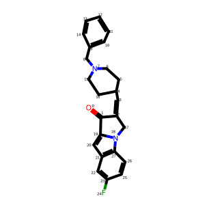 O=C1/C(=C\C2CCN(Cc3ccccc3)CC2)Cn2c1cc1cc(F)ccc12